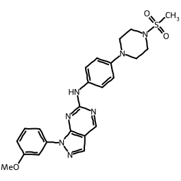 COc1cccc(-n2ncc3cnc(Nc4ccc(N5CCN(S(C)(=O)=O)CC5)cc4)nc32)c1